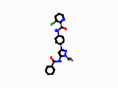 Cn1nc(-c2ccc(NC(=O)c3ncccc3Cl)cc2)cc1NC(=O)c1ccccc1